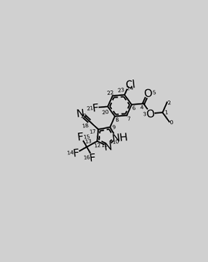 CC(C)OC(=O)c1cc(-c2[nH]nc(C(F)(F)F)c2C#N)c(F)cc1Cl